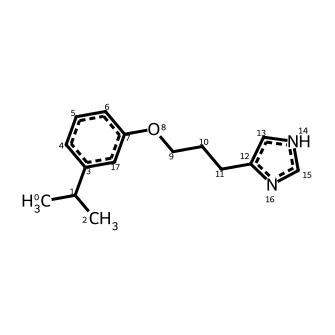 CC(C)c1cccc(OCCCc2c[nH]cn2)c1